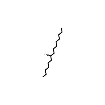 CCCCCCCCC([S])CCCCCC